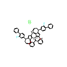 CCC1=[C]([Zr+2]([C]2=C(CC)C=C3C2=CC=CCC3c2ccc(-c3ccccc3)c(F)c2)=[C](c2ccccc2)c2ccccc2)C2=CC=CCC(c3ccc(-c4ccccc4)c(F)c3)C2=C1.[Cl-].[Cl-]